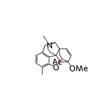 COC12C=CC3(CC1C(C)=O)C1Cc4ccc(C)c5c4C3(CCN1C)C2O5